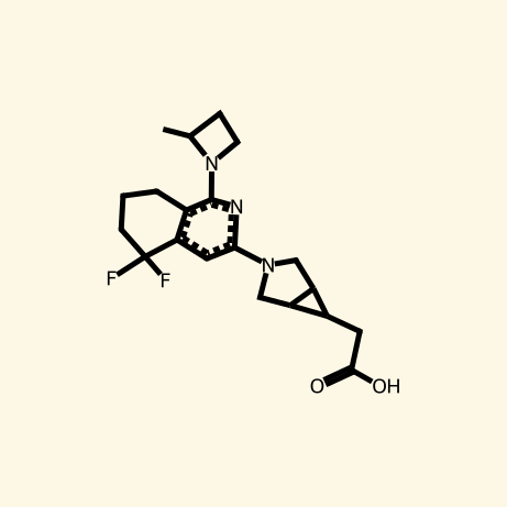 CC1CCN1c1nc(N2CC3C(CC(=O)O)C3C2)cc2c1CCCC2(F)F